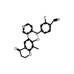 Cc1c(O[C@H](c2ccncc2)c2ccc(C#N)c(F)c2)c(F)cc2c1OCCC2=O